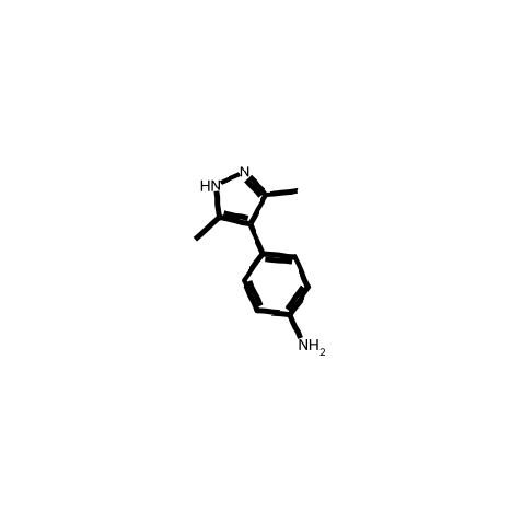 Cc1n[nH]c(C)c1-c1ccc(N)cc1